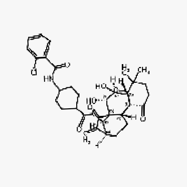 C=C1C(=O)[C@]23[C@H](OC(=O)C4CCC(NC(=O)c5ccccc5Cl)CC4)[C@H]1CC[C@H]2[C@@]12CO[C@@]3(O)[C@@H](O)[C@@H]1C(C)(C)CCC2=O